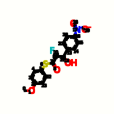 COc1ccc(SC(=O)[C@@H](F)[C@@H](O)c2ccc([N+](=O)[O-])cc2)cc1